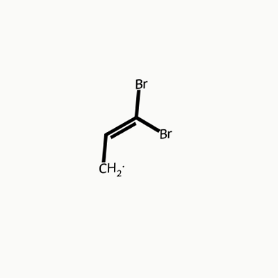 [CH2]C=C(Br)Br